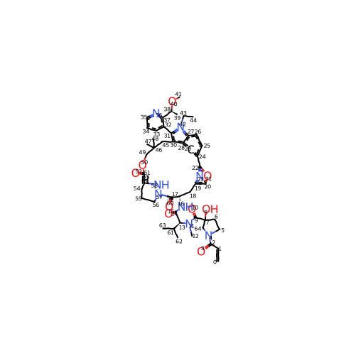 C=CC(=O)N1CCC(O)(C(=O)N(C)[C@H](C(=O)N[C@H]2Cc3coc(n3)-c3ccc4c(c3)c(c(-c3cccnc3[C@H](C)OC)n4CC)CC(C)(C)COC(=O)[C@@H]3CCCN(N3)C2=O)C(C)C)C1